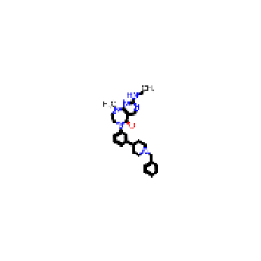 CCNc1ncc2c(n1)N(C)CCN(c1cccc(C3CCN(Cc4ccccc4)CC3)c1)C2=O